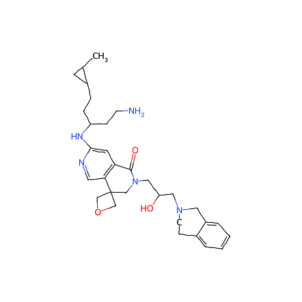 CC1CC1CCC(CCN)Nc1cc2c(cn1)C1(COC1)CN(CC(O)CN1CCc3ccccc3C1)C2=O